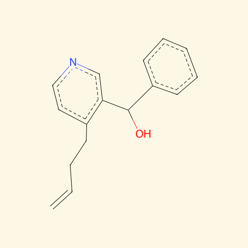 C=CCCc1ccncc1C(O)c1ccccc1